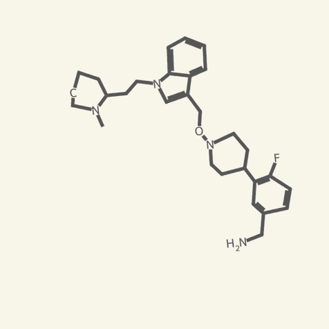 CN1CCCCC1CCn1cc(CON2CCC(c3cc(CN)ccc3F)CC2)c2ccccc21